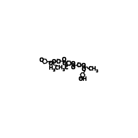 CCCC(OCC1CCC(O)CC1)Oc1ccc(C(=O)Oc2ccc(OC(=O)c3ccc(OC(CCC)OCC4CCC5OC5C4)cc3)c(C)c2)cc1